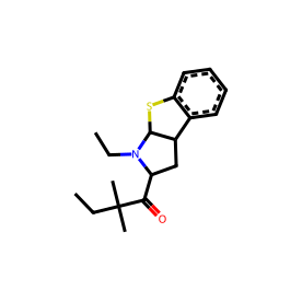 CCN1C(C(=O)C(C)(C)CC)CC2c3ccccc3SC21